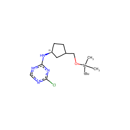 CC(C)(C)[Si](C)(C)OCC1CC[C@H](Nc2ncnc(Cl)n2)C1